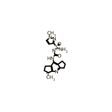 C[C@@H]1CCc2c1nc1c(c2NC(=O)N=[S@@](N)(=O)c2ccn(C)n2)CCC1